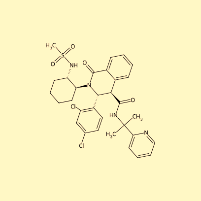 CC(C)(NC(=O)[C@@H]1c2ccccc2C(=O)N([C@H]2CCCC[C@@H]2NS(C)(=O)=O)[C@H]1c1ccc(Cl)cc1Cl)c1ccccn1